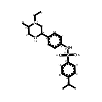 CCN1CC(c2ccc(NS(=O)(=O)c3ccc(C(C)C)cc3)cc2)OCC1C